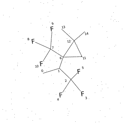 CC(C(F)(F)F)C1(C(F)(F)F)CC1(C)C